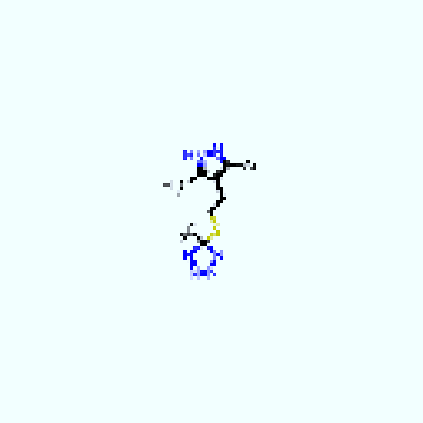 CC(=O)c1n[nH]c(C)c1CCSC1(C)N=NN=N1